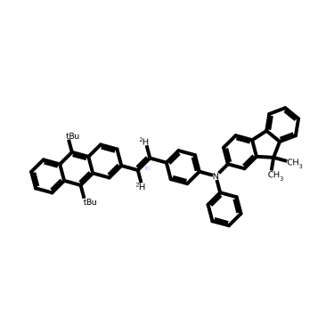 [2H]/C(=C(/[2H])c1ccc2c(C(C)(C)C)c3ccccc3c(C(C)(C)C)c2c1)c1ccc(N(c2ccccc2)c2ccc3c(c2)C(C)(C)c2ccccc2-3)cc1